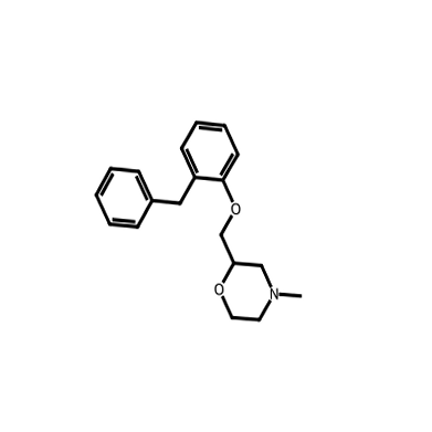 CN1CCOC(COc2ccccc2Cc2ccccc2)C1